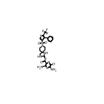 Nc1nc(N)c(C(=O)/N=C2\NCC3(CCN(S(=O)(=O)c4csc(C(F)(F)F)c4-c4ccccc4)CC3)N2)nc1Cl